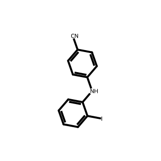 N#Cc1ccc(Nc2ccccc2I)cc1